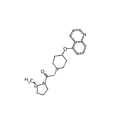 C[C@@H]1CCCN1C(=O)CN1CCC(Oc2cccc3ncccc23)CC1